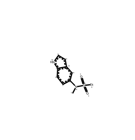 CCS(=O)(=O)N(C)c1ccc2[nH]ccc2c1